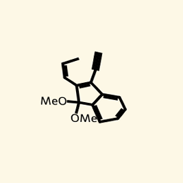 C#CC1=C(/C=C\C)C(OC)(OC)c2ccccc21